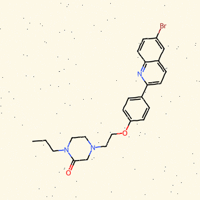 CCCN1CCN(CCOc2ccc(-c3ccc4cc(Br)ccc4n3)cc2)CC1=O